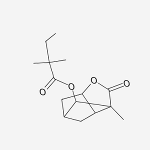 CCC(C)(C)C(=O)OC1C2CC3OC(=O)C1(C)C3C2